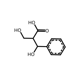 O=C(O)C(CO)C(O)c1ccccc1